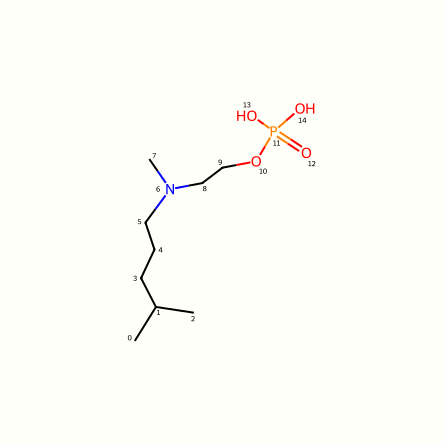 CC(C)CCCN(C)CCOP(=O)(O)O